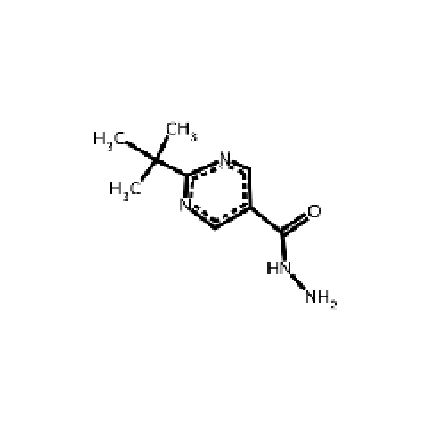 CC(C)(C)c1ncc(C(=O)NN)cn1